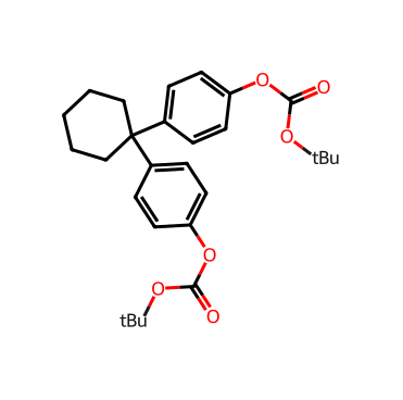 CC(C)(C)OC(=O)Oc1ccc(C2(c3ccc(OC(=O)OC(C)(C)C)cc3)CCCCC2)cc1